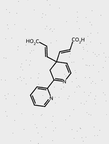 O=C(O)C=CC1(C=CC(=O)O)C=CN=C(c2ccccn2)C1